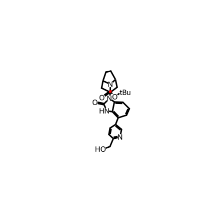 CC(C)(C)OC(=O)N1C2CCC1CC(n1c(=O)[nH]c3c(-c4ccc(CO)nc4)cccc31)C2